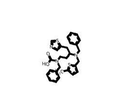 Cc1ccc(CN(Cc2ccccc2)C(CCN(Cc2ccccc2)C(=O)O)Cc2cncs2)s1